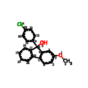 COc1ccc2c(c1)C(O)(c1ccc(Cl)cc1)c1ccccc1-2